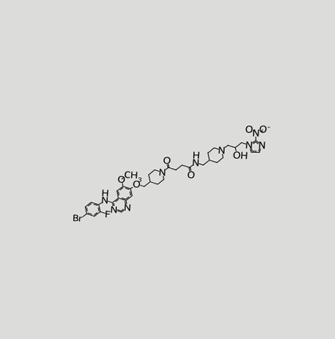 COc1cc2c(Nc3ccc(Br)cc3F)ncnc2cc1OCC1CCN(C(=O)CCC(=O)NCC2CCN(CC(O)Cn3ccnc3[N+](=O)[O-])CC2)CC1